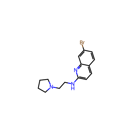 Brc1ccc2ccc(NCCN3CCCC3)nc2c1